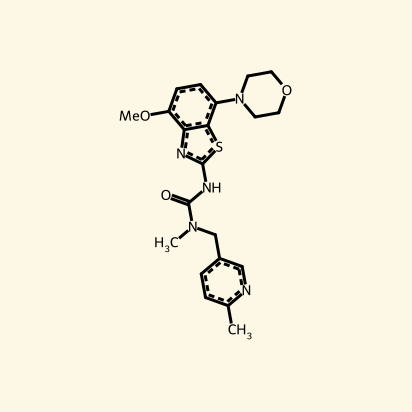 COc1ccc(N2CCOCC2)c2sc(NC(=O)N(C)Cc3ccc(C)nc3)nc12